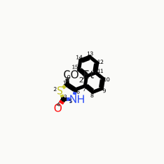 CCOC(=O)c1sc(=O)[nH]c1-c1cccc2ccccc12